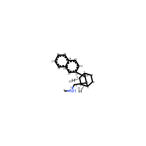 CNC[C@@H]1C2CCC(CC2)[C@@H]1c1ccc2ccccc2c1